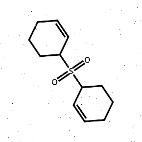 O=S(=O)(C1C=CCCC1)C1C=CCCC1